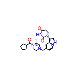 C[C@H]1CN(Cc2ccn3ncc(N4CCC(=O)NC4=O)c3c2)CCN1C(=O)C1CCCC1